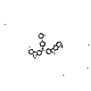 c1ccc(-c2ccc(N(c3ccc4oc5ccccc5c4c3)c3ccc4sc5cc6ncccc6cc5c4c3)cc2)cc1